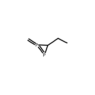 C=P1=PC1CC